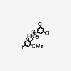 COc1cc(I)cnc1CNS(=O)(=O)c1cc(Cl)cc(Cl)c1